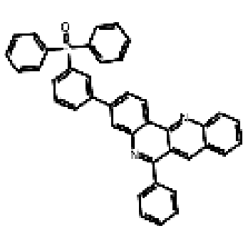 O=P(c1ccccc1)(c1ccccc1)c1cccc(-c2ccc3c(c2)nc(-c2ccccc2)c2cc4ccccc4nc23)c1